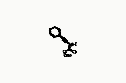 CC(C)(C)OC(=O)NC#CC1CCCCC1